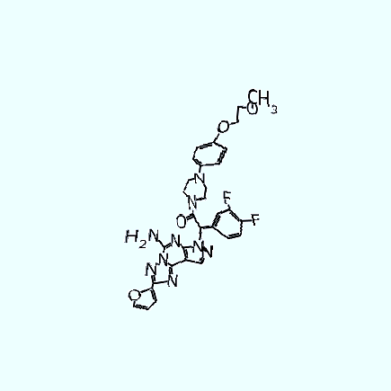 COCCOc1ccc(N2CCN(C(=O)C(c3ccc(F)c(F)c3)n3ncc4c3nc(N)n3nc(-c5ccco5)nc43)CC2)cc1